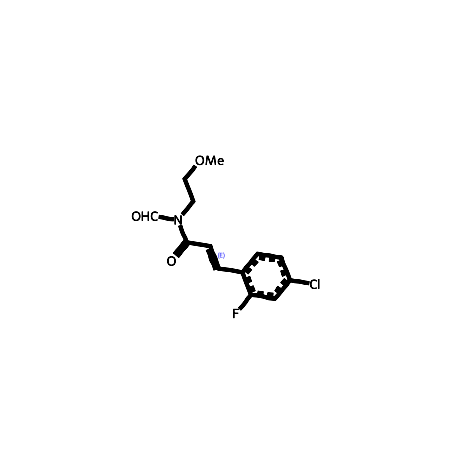 COCCN(C=O)C(=O)/C=C/c1ccc(Cl)cc1F